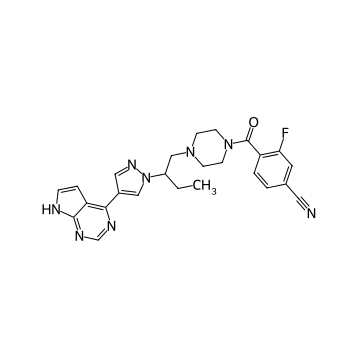 CCC(CN1CCN(C(=O)c2ccc(C#N)cc2F)CC1)n1cc(-c2ncnc3[nH]ccc23)cn1